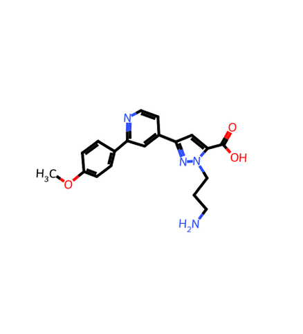 COc1ccc(-c2cc(-c3cc(C(=O)O)n(CCCN)n3)ccn2)cc1